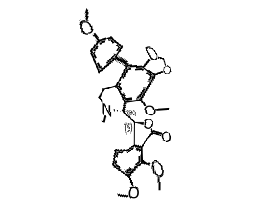 COc1ccc(-c2c3c(c(OC)c4c2OCO4)[C@H]([C@H]2OC(=O)c4c2ccc(OC)c4OC)N(C)CC3)cc1